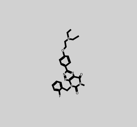 CCN(CC)CCOc1ccc(-c2nnc3c(n2)c(=O)n(C)c(=O)n3Cc2ccccc2F)cc1